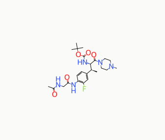 CC(=O)NCC(=O)Nc1ccc([C@H](C)[C@@H](NC(=O)OC(C)(C)C)C(=O)N2CCN(C)CC2)cc1F